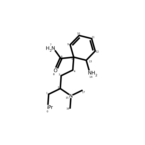 CC(C)CC(CCC1(C(N)=O)C=CC=CC1N)N(C)C